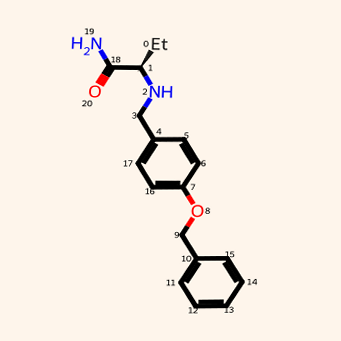 CC[C@@H](NCc1ccc(OCc2ccccc2)cc1)C(N)=O